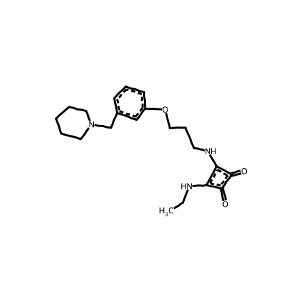 CCNc1c(NCCCOc2cccc(CN3CCCCC3)c2)c(=O)c1=O